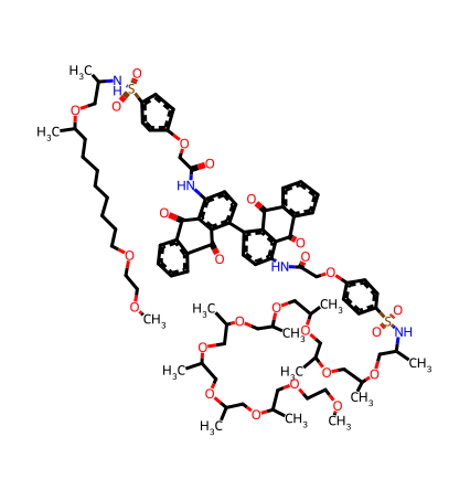 COCCOCCCCCCCCC(C)OCC(C)NS(=O)(=O)c1ccc(OCC(=O)Nc2ccc(-c3ccc(NC(=O)COc4ccc(S(=O)(=O)NC(C)COC(C)COC(C)COC(C)COC(C)COC(C)COC(C)COC(C)COC(C)COCCOC)cc4)c4c3C(=O)c3ccccc3C4=O)c3c2C(=O)c2ccccc2C3=O)cc1